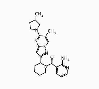 Cc1cn2nc([C@@H]3CCCCN3C(=O)c3cccnc3N)cc2nc1N1CC[C@H](C)C1